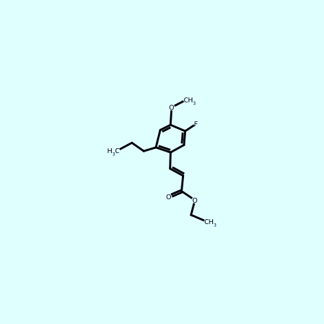 CCCc1cc(OC)c(F)cc1/C=C/C(=O)OCC